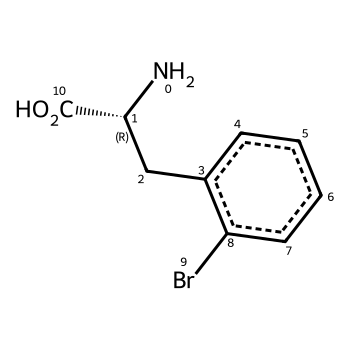 N[C@H](Cc1ccccc1Br)C(=O)O